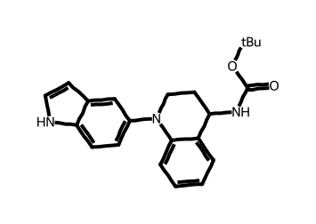 CC(C)(C)OC(=O)NC1CCN(c2ccc3[nH]ccc3c2)c2ccccc21